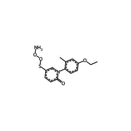 CCOc1ccc(-n2cc(SOON)ccc2=O)c(C)c1